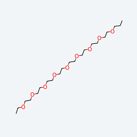 CCCOCCOCCOCCOCCOCCOCCOCCOCCOCC